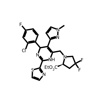 CCOC(=O)[C@@H]1CC(F)(F)CN1CC1=C(c2ccn(C)n2)C(c2ccc(F)cc2Cl)N=C(c2nccs2)N1